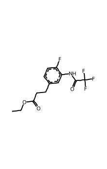 CCOC(=O)CCc1ccc(F)c(NC(=O)C(F)(F)F)c1